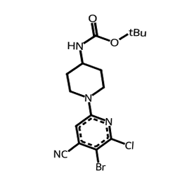 CC(C)(C)OC(=O)NC1CCN(c2cc(C#N)c(Br)c(Cl)n2)CC1